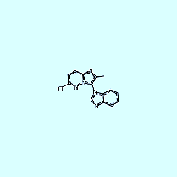 Cc1nc2ccc(Cl)nn2c1-n1cnc2ccccc21